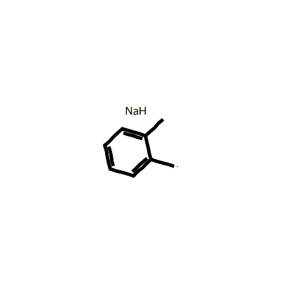 [CH2]c1ccccc1C.[NaH]